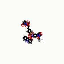 CCO[N+]1(c2ccc(N(C(=O)Oc3c4ccccc4nc4ccccc34)S(=O)(=O)c3ccc(CCC(=O)ON4C(=O)CCC4=O)cc3)cc2)CCOCC1